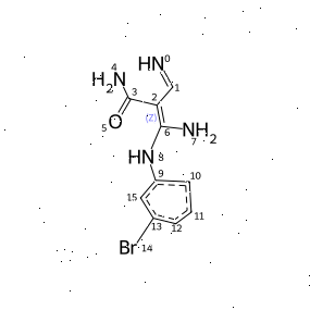 N=C/C(C(N)=O)=C(\N)Nc1cccc(Br)c1